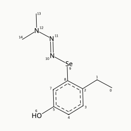 CCc1ccc(O)cc1[Se]N=NN(C)C